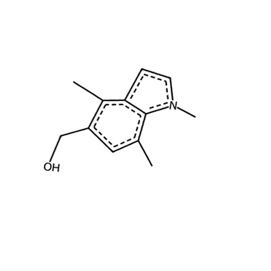 Cc1c(CO)cc(C)c2c1ccn2C